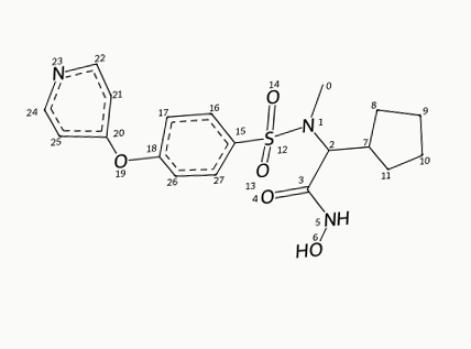 CN(C(C(=O)NO)C1CCCC1)S(=O)(=O)c1ccc(Oc2ccncc2)cc1